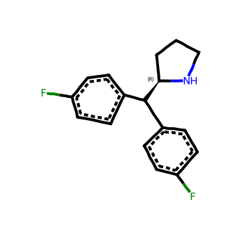 Fc1ccc(C(c2ccc(F)cc2)[C@H]2CCCN2)cc1